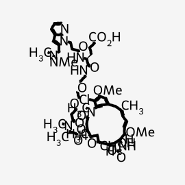 CNN(C)Cc1cc2cccnc2n1CCC(=O)N[C@@H](CCCC(=O)O)C(=O)NCCOCCOCCC(=O)N(C)[C@@H](C)C(=O)O[C@H]1CC(=O)N(C)c2cc(cc(OC)c2Cl)C/C(C)=C/C=C/[C@@H](OC)[C@@]2(O)C[C@H](OC(=O)N2)C2(C)C[C@@]1(C)O2